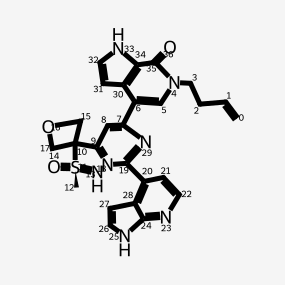 C=CCCn1cc(-c2cc(C3([S@](C)(=N)=O)COC3)nc(-c3ccnc4[nH]ccc34)n2)c2cc[nH]c2c1=O